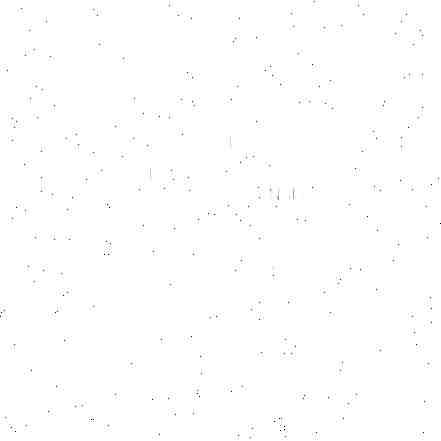 Sc1cc(Cl)c(Cl)cc1Cl.[NaH]